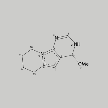 COC1NC=Nc2c1cc1n2CCCC1